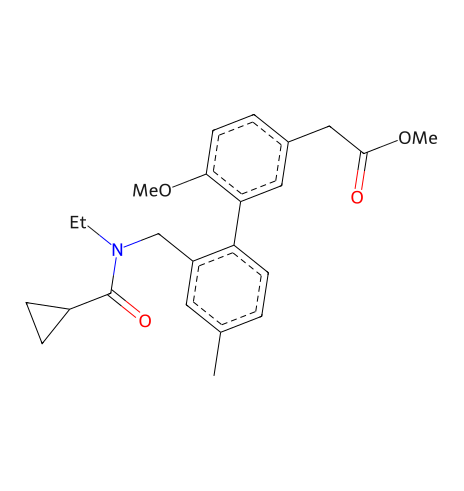 CCN(Cc1cc(C)ccc1-c1cc(CC(=O)OC)ccc1OC)C(=O)C1CC1